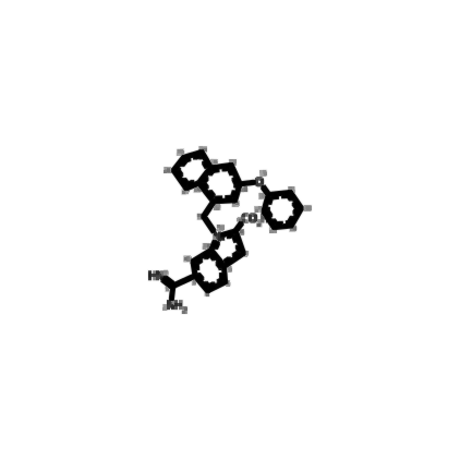 N=C(N)c1ccc2cc(C(=O)O)n(Cc3cc(Oc4ccccc4)cc4ccccc34)c2c1